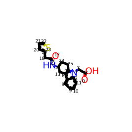 O=C(O)Cn1c2c(c3ccccc31)C[C@@H](NC(=O)Cc1cccs1)CC2